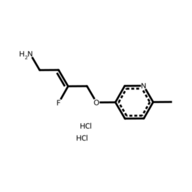 Cc1ccc(OCC(F)=CCN)cn1.Cl.Cl